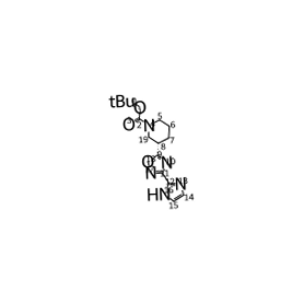 CC(C)(C)OC(=O)N1CCC[C@H](c2nc(-c3ncc[nH]3)no2)C1